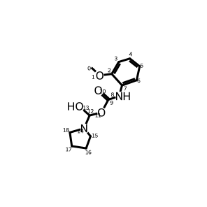 COc1ccccc1NC(=O)OC(O)N1CCCC1